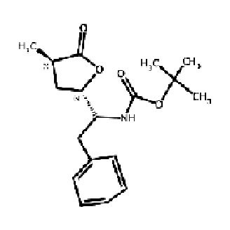 C[C@@H]1C[C@@H](C(Cc2ccccc2)NC(=O)OC(C)(C)C)OC1=O